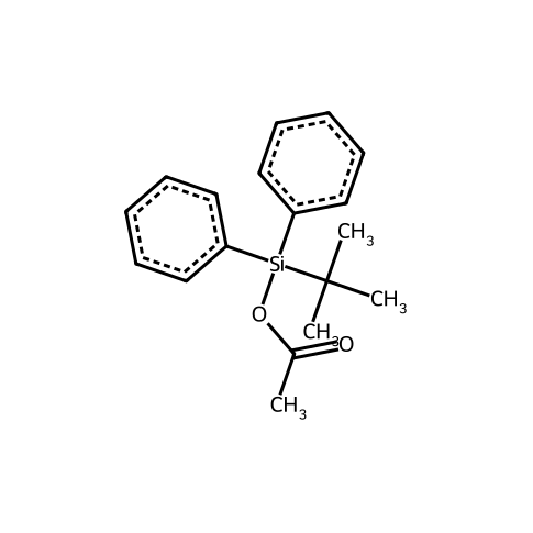 CC(=O)O[Si](c1ccccc1)(c1ccccc1)C(C)(C)C